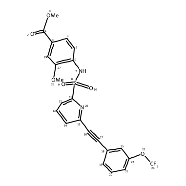 COC(=O)c1ccc(NS(=O)(=O)c2cccc(C#Cc3cccc(OC(F)(F)F)c3)n2)c(OC)c1